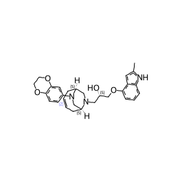 Cc1cc2c(OC[C@@H](O)CN3C[C@@H]4C/C=C\C[C@H]3CN4c3ccc4c(c3)OCCO4)cccc2[nH]1